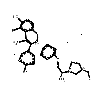 CC1=C(c2ccc(F)cc2)[C@@H](c2ccc(OC[C@H](C)N3CC[C@@H](CF)C3)cc2)Oc2ccc(O)c(F)c21